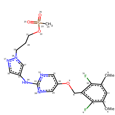 COc1cc(OC)c(F)c(COc2cnc(Nc3cnn(CCCOS(C)(=O)=O)c3)nc2)c1F